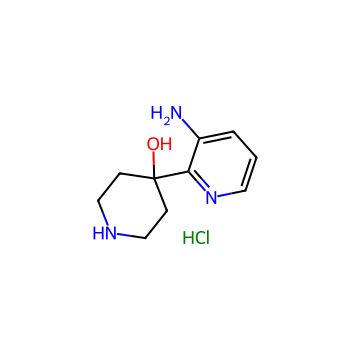 Cl.Nc1cccnc1C1(O)CCNCC1